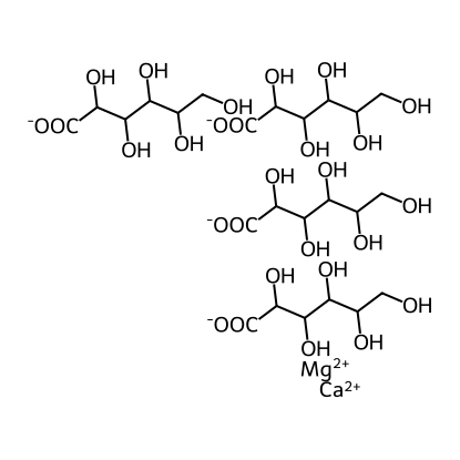 O=C([O-])C(O)C(O)C(O)C(O)CO.O=C([O-])C(O)C(O)C(O)C(O)CO.O=C([O-])C(O)C(O)C(O)C(O)CO.O=C([O-])C(O)C(O)C(O)C(O)CO.[Ca+2].[Mg+2]